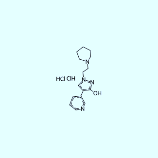 Cl.Cl.Oc1nn(CCN2CCCCC2)cc1-c1cccnc1